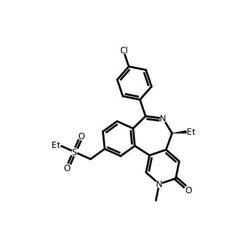 CC[C@@H]1N=C(c2ccc(Cl)cc2)c2ccc(CS(=O)(=O)CC)cc2-c2cn(C)c(=O)cc21